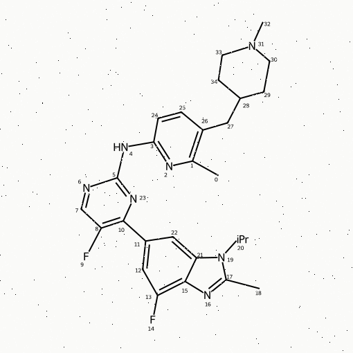 Cc1nc(Nc2ncc(F)c(-c3cc(F)c4nc(C)n(C(C)C)c4c3)n2)ccc1CC1CCN(C)CC1